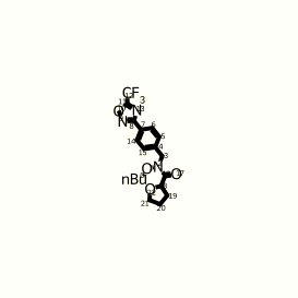 CCCCON(Cc1ccc(-c2noc(C(F)(F)F)n2)cc1)C(=O)C1CCCO1